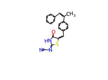 CC(=Cc1ccccc1)c1ccc(C=C2SC(=NC#N)NC2=O)cc1